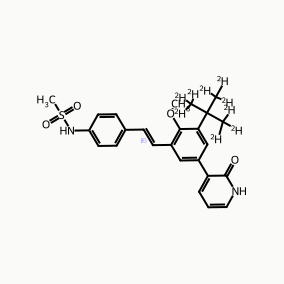 [2H]C([2H])([2H])C(c1cc(-c2ccc[nH]c2=O)cc(/C=C/c2ccc(NS(C)(=O)=O)cc2)c1OC)(C([2H])([2H])[2H])C([2H])([2H])[2H]